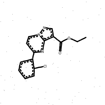 CCOC(=O)c1cnn2ccc(-c3ccccc3Cl)nc12